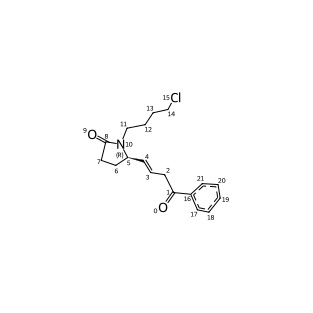 O=C(CC=C[C@H]1CCC(=O)N1CCCCCl)c1ccccc1